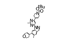 Cc1nc(C2=CCN(C(=O)OC(C)(C)C)CC2)cc(-n2ncc3cc(C)c(C4=CCOCC4)cc32)n1